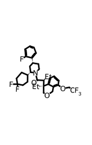 CC[C@@H](C(=O)N1CC[C@@H](c2ccccc2F)C[C@H]1C1CCC(F)(F)CC1)[C@]1(CC)COCc2c(OCC(F)(F)F)cccc21